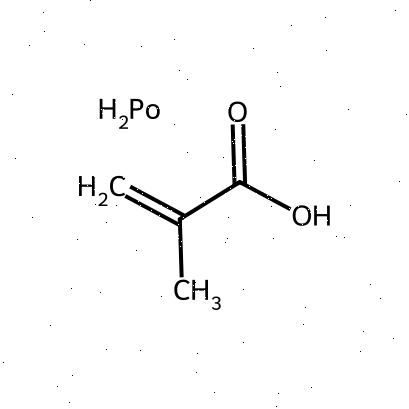 C=C(C)C(=O)O.[PoH2]